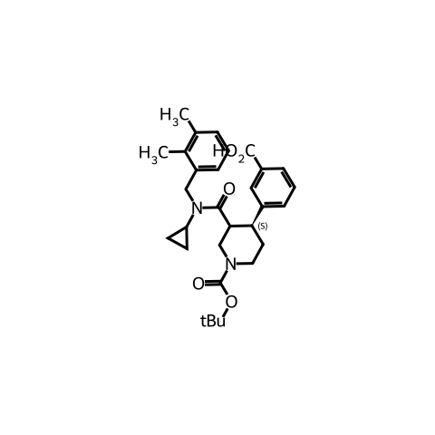 Cc1cccc(CN(C(=O)C2CN(C(=O)OC(C)(C)C)CC[C@@H]2c2cccc(C(=O)O)c2)C2CC2)c1C